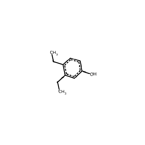 CCc1ccc(O)cc1CC